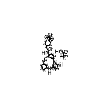 CCS(=O)(=O)N1CCC(CC(=O)Nc2ccc3cc2CCc2cccc(c2)Nc2ncc(Cl)c(n2)N3)CC1.O=C(O)C(F)(F)F